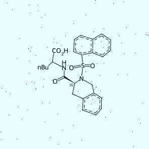 CCCCC(NC(=O)[C@@H]1Cc2ccccc2CN1S(=O)(=O)c1cccc2ccccc12)C(=O)O